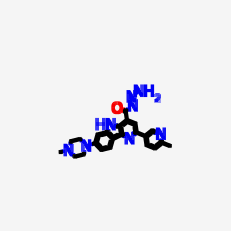 Cc1ccc(-c2cc(C(=O)N=NN)c3[nH]c4cc(N5CCN(C)CC5)ccc4c3n2)cn1